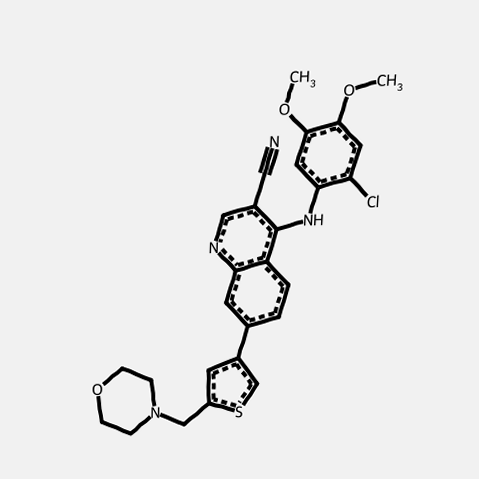 COc1cc(Cl)c(Nc2c(C#N)cnc3cc(-c4csc(CN5CCOCC5)c4)ccc23)cc1OC